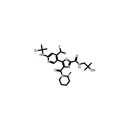 CCC(C)(C)Nc1cc(C(F)F)c(-c2sc(C(=O)NCC(C)(C)O)nc2C(=O)N2CCCC[C@@H]2C)cn1